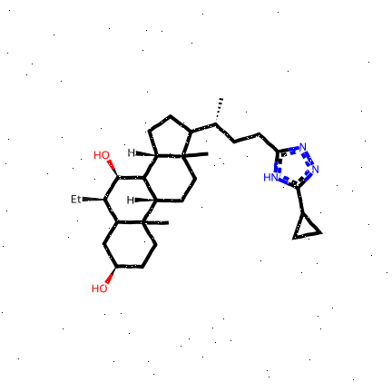 CC[C@@H]1C2C[C@H](O)CCC2(C)[C@H]2CCC3(C)C([C@H](C)CCc4nnc(C5CC5)[nH]4)CC[C@H]3C2[C@@H]1O